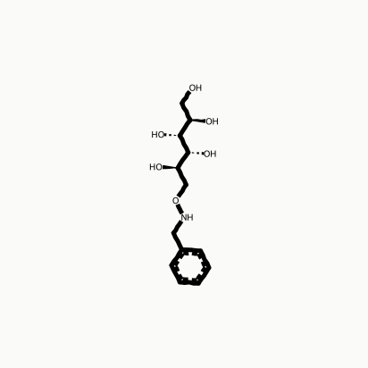 OC[C@@H](O)[C@@H](O)[C@H](O)[C@H](O)CONCc1ccccc1